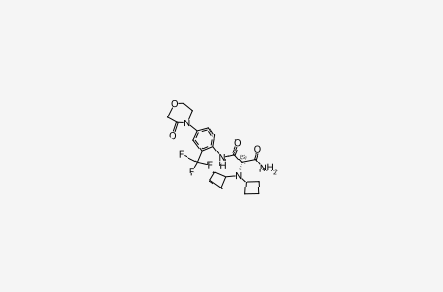 NC(=O)[C@@H](C(=O)Nc1ccc(N2CCOCC2=O)cc1C(F)(F)F)N(C1CCC1)C1CCC1